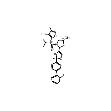 Cc1noc([C@H](C(=O)N2C[C@H](O)CC2C2=NOC(C)(c3ccc(-c4ccccc4F)cc3)N2)C(C)C)c1Cl